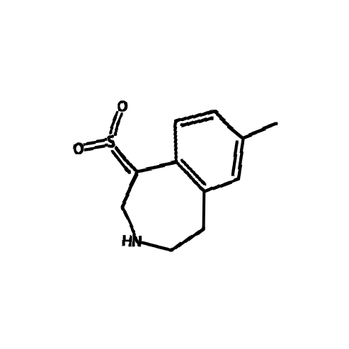 Cc1ccc2c(c1)CCNCC2=S(=O)=O